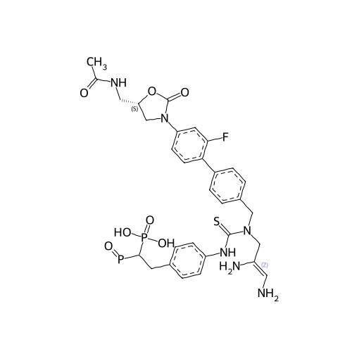 CC(=O)NC[C@H]1CN(c2ccc(-c3ccc(CN(C/C(N)=C/N)C(=S)Nc4ccc(CC(P=O)P(=O)(O)O)cc4)cc3)c(F)c2)C(=O)O1